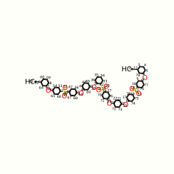 C#Cc1cccc(Oc2ccc(S(=O)(=O)c3ccc(Oc4ccc(Oc5ccc(S(=O)(=O)c6ccccc6Oc6cccc(Oc7ccc(S(=O)(=O)c8ccc(Oc9cccc(C#C)c9)cc8)cc7)c6)cc5)cc4)cc3)cc2)c1